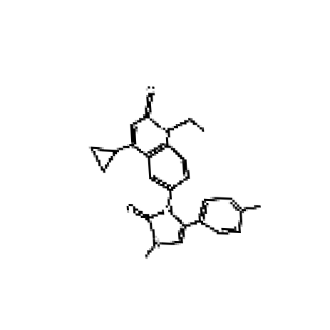 CCn1c(=O)cc(C2CC2)c2cc(-n3c(-c4ccc(C)cc4)cn(C)c3=O)ccc21